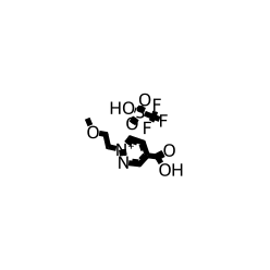 COCC[n+]1ccc(C(=O)O)cn1.O=S(=O)(O)C(F)(F)F